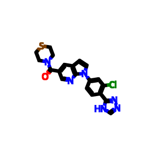 O=C(c1cnc2c(ccn2-c2ccc(-c3nnc[nH]3)c(Cl)c2)c1)N1CCSCC1